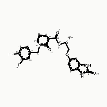 CC[C@H](COc1ccc2[nH]c(=O)[nH]c2c1)NC(=O)c1cccn(Cc2ccc(F)c(F)c2)c1=O